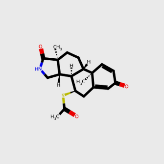 CC(=O)S[C@@H]1CC2=CC(=O)C=C[C@]2(C)[C@H]2CC[C@]3(C)C(=O)NC[C@H]3[C@H]12